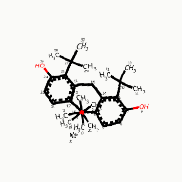 CC(C)(C)c1ccc(O)c(C(C)(C)C)c1Cc1c(C(C)(C)C)ccc(O)c1C(C)(C)C.[Na]